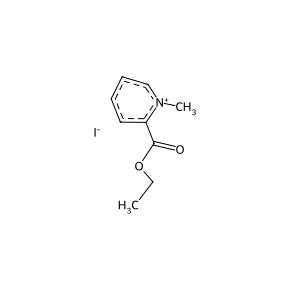 CCOC(=O)c1cccc[n+]1C.[I-]